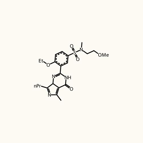 CCCC1=NC(C)=C2C(=O)NC(c3cc(S(=O)(=O)N(C)CCOC)ccc3OCC)=NC12